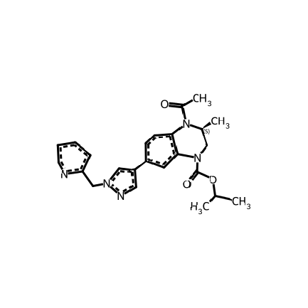 CC(=O)N1c2ccc(-c3cnn(Cc4ccccn4)c3)cc2N(C(=O)OC(C)C)C[C@@H]1C